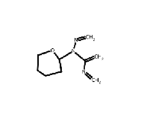 C=NC(=C)N(N=C)C1CCCCO1